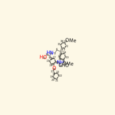 COc1ccc(C(CCNC(CO)c2ccc(OCc3ccccc3)c(NC=O)c2)c2ccc(OC)cc2)cc1